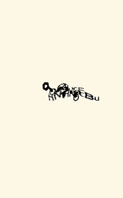 CC(NC(=O)OCc1ccccc1)C(=O)N(CC(F)(F)F)NC(=O)OC(C)(C)C